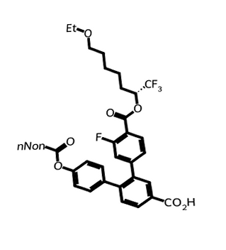 CCCCCCCCCC(=O)Oc1ccc(-c2ccc(C(=O)O)cc2-c2ccc(C(=O)O[C@H](CCCCCOCC)C(F)(F)F)c(F)c2)cc1